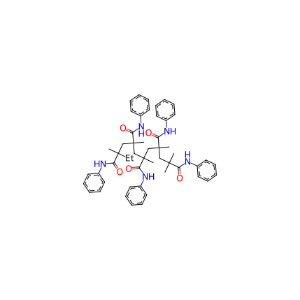 CCC(C)(CC(C)(CC(C)(CC(C)(CC(C)(C)C(=O)Nc1ccccc1)C(=O)Nc1ccccc1)C(=O)Nc1ccccc1)C(=O)Nc1ccccc1)C(=O)Nc1ccccc1